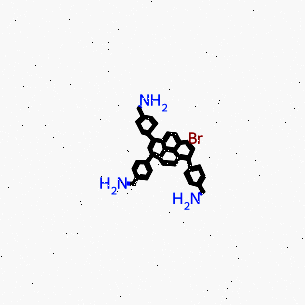 NCc1ccc(-c2cc(Br)c3ccc4c(-c5ccc(CN)cc5)cc(-c5ccc(CN)cc5)c5ccc2c3c45)cc1